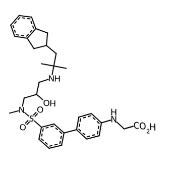 CN(CC(O)CNC(C)(C)CC1Cc2ccccc2C1)S(=O)(=O)c1cccc(-c2ccc(NCC(=O)O)cc2)c1